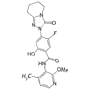 COc1nccc(C)c1NC(=O)c1cc(F)c(-n2nc3n(c2=O)CCCC3)cc1O